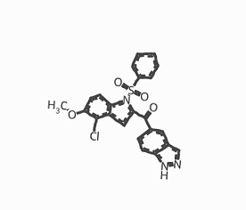 COc1ccc2c(cc(C(=O)c3ccc4[nH]ncc4c3)n2S(=O)(=O)c2ccccc2)c1Cl